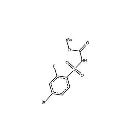 CC(C)(C)OC(=O)NS(=O)(=O)c1ccc(Br)cc1F